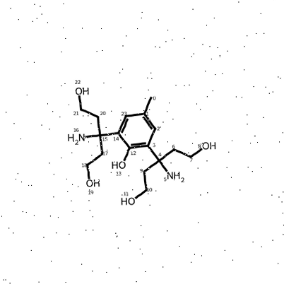 Cc1cc(C(N)(CCO)CCO)c(O)c(C(N)(CCO)CCO)c1